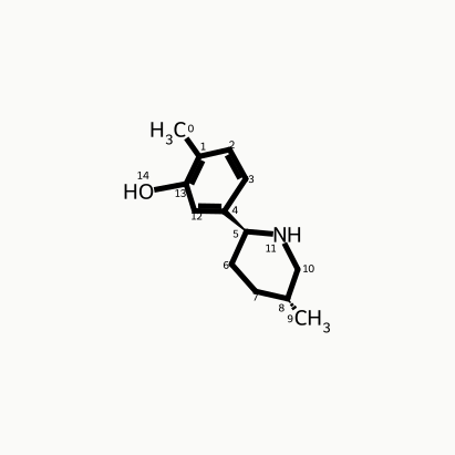 Cc1ccc([C@@H]2CC[C@@H](C)CN2)cc1O